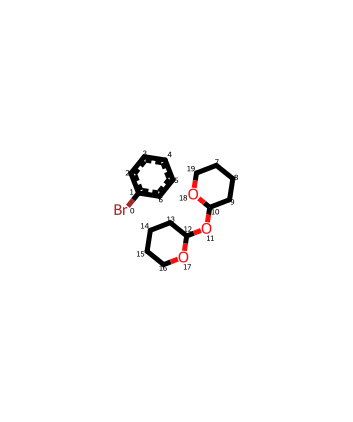 Brc1ccccc1.C1CCC(OC2CCCCO2)OC1